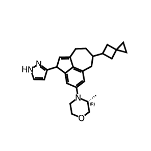 C[C@@H]1COCCN1c1cc2c3c(c1)C(c1cc[nH]n1)C=C3CCC(C1CC3(CC3)C1)C2